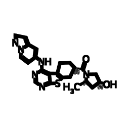 C[C@@H]1C[C@H](O)CN1C(=O)[C@H]1CCc2c(sc3ncnc(Nc4ccn5nccc5c4)c23)C1